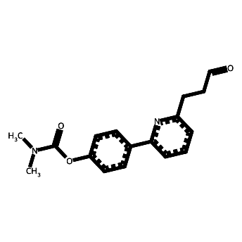 CN(C)C(=O)Oc1ccc(-c2cccc(CCC=O)n2)cc1